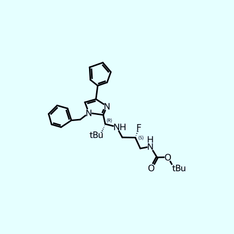 CC(C)(C)OC(=O)NC[C@@H](F)CN[C@@H](c1nc(-c2ccccc2)cn1Cc1ccccc1)C(C)(C)C